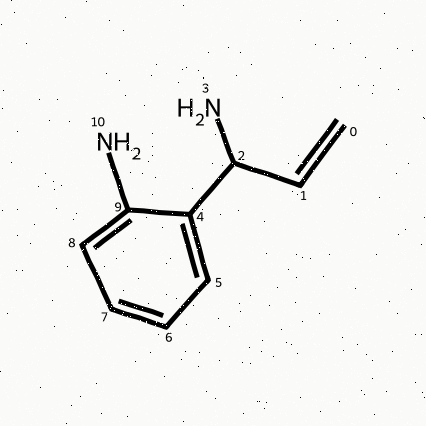 C=CC(N)c1ccccc1N